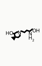 NC(CO)CCCN1CCC2(CC2)C(O)C1